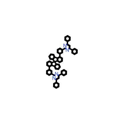 c1ccc(-c2cc(-c3ccccc3)nc(-c3cccc(-c4cccc5c4-c4ccccc4C54c5ccccc5-c5c(-c6cccc(-c7nc(-c8ccccc8)cc(-c8ccccc8)n7)c6)cccc54)c3)n2)cc1